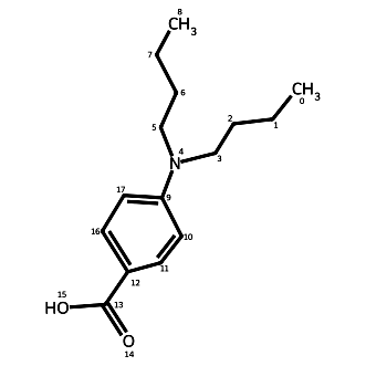 CCCCN(CCCC)c1ccc(C(=O)O)cc1